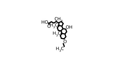 CCCO[C@@H]1CCC2(C)C(CC(O)C3C2CCC2(C)C3CCC2[C@H](C)CCC(=O)O)C1